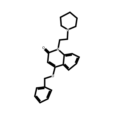 O=c1cc(OCc2ccccc2)c2ccccc2n1CCN1CC[CH]CC1